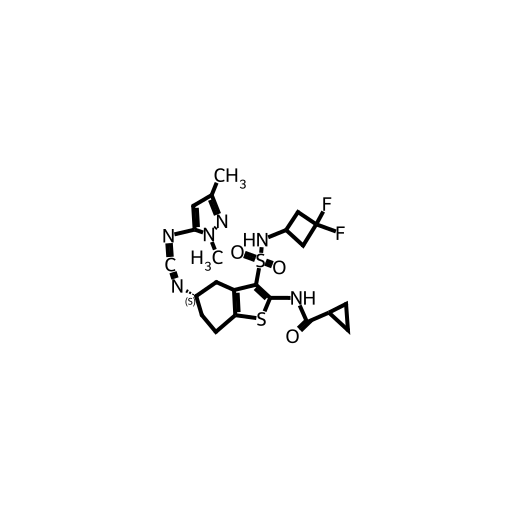 Cc1cc(N=C=N[C@H]2CCc3sc(NC(=O)C4CC4)c(S(=O)(=O)NC4CC(F)(F)C4)c3C2)n(C)n1